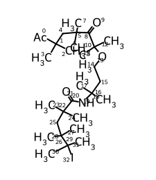 CC(=O)C(C)(C)CC(C)(C)C(=O)C(C)(C)OCCC(C)(C)NC(=O)C(C)(C)CC(C)(C)C(C)(C)I